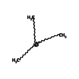 CCCCCCCCCCCCCCCc1n(CCCCCCCCCCCCC)cc[n+]1CCCCCCCCCCCCCC